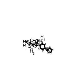 Cc1cc(-n2cccn2)ccc1B(O)OC(C)(C)C(C)(C)O